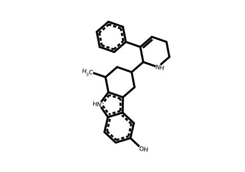 CC1CC(C2NCCC=C2c2ccccc2)Cc2c1[nH]c1ccc(O)cc21